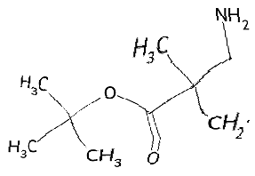 [CH2]C(C)(CN)C(=O)OC(C)(C)C